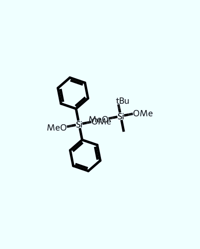 CO[Si](C)(OC)C(C)(C)C.CO[Si](OC)(c1ccccc1)c1ccccc1